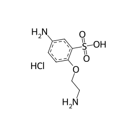 Cl.NCCOc1ccc(N)cc1S(=O)(=O)O